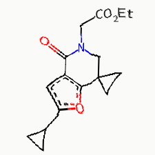 CCOC(=O)CN1CC2(CC2)c2oc(C3CC3)cc2C1=O